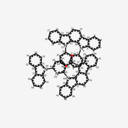 c1ccc(-n2c3ccccc3c3ccc4c5ccccc5n(-c5cccc(-n6c7ccccc7c7ccc8c9ccccc9n(-c9cccc(-n%10c%11ccccc%11c%11ccccc%11%10)n9)c8c76)c5)c4c32)cc1